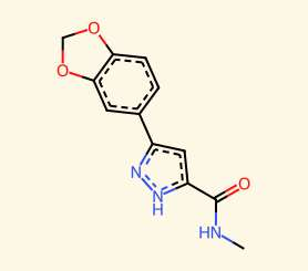 CNC(=O)c1cc(-c2ccc3c(c2)OCO3)n[nH]1